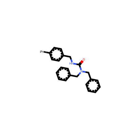 CC(C)c1ccc(CNC(=O)N(Cc2ccccc2)Cc2ccccc2)cc1